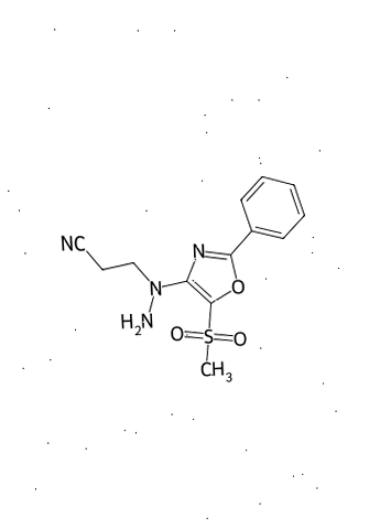 CS(=O)(=O)c1oc(-c2ccccc2)nc1N(N)CCC#N